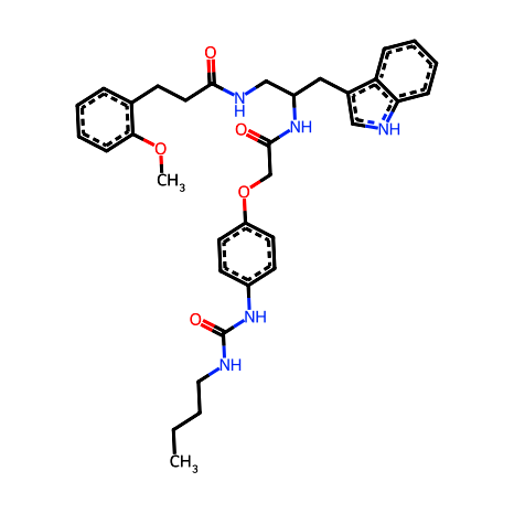 CCCCNC(=O)Nc1ccc(OCC(=O)NC(CNC(=O)CCc2ccccc2OC)Cc2c[nH]c3ccccc23)cc1